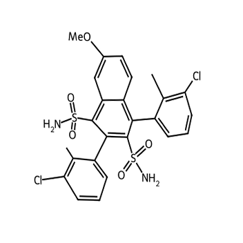 COc1ccc2c(-c3cccc(Cl)c3C)c(S(N)(=O)=O)c(-c3cccc(Cl)c3C)c(S(N)(=O)=O)c2c1